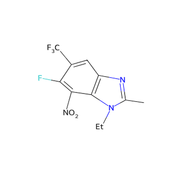 CCn1c(C)nc2cc(C(F)(F)F)c(F)c([N+](=O)[O-])c21